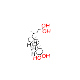 C[C@H](CCC(O)O)[C@H]1CC[C@H]2[C@@H]3CC[C@H]4CC(O)(O)CC[C@]4(C)[C@H]3CC[C@]12C